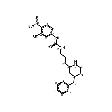 CCN(CC)c1ccc(NC(=O)NCCCC2CC(Cc3ccccc3)CCN2)cc1Cl